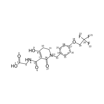 O=C(O)CNC(=O)C1=C(O)CCN(Cc2ccc(OCC(F)(F)F)cc2)C1=O